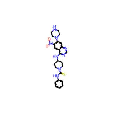 O=[N+]([O-])c1cc2c(NC3CCN(C(=S)Nc4ccccc4)CC3)ncnc2cc1N1CCNCC1